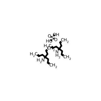 C=CCC(N)(CC=C)CC=C.C=CCC(N)(CC=C)CC=C.O=S(=O)(O)O